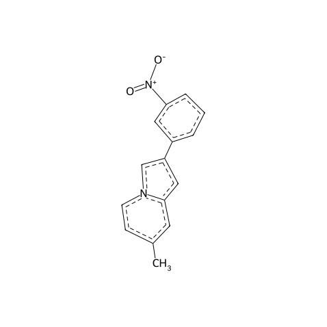 Cc1ccn2cc(-c3cccc([N+](=O)[O-])c3)cc2c1